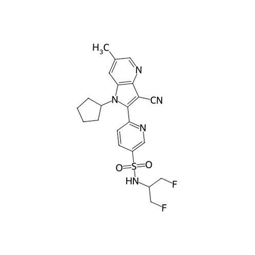 Cc1cnc2c(C#N)c(-c3ccc(S(=O)(=O)NC(CF)CF)cn3)n(C3CCCC3)c2c1